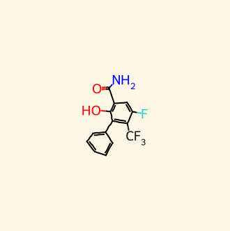 NC(=O)c1cc(F)c(C(F)(F)F)c(-c2ccccc2)c1O